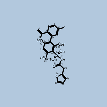 C=C(C)c1ccc(C)cc1-c1c(O)cc(CCCCC)c(S(=O)(=O)NC(=O)Cc2ccco2)c1O